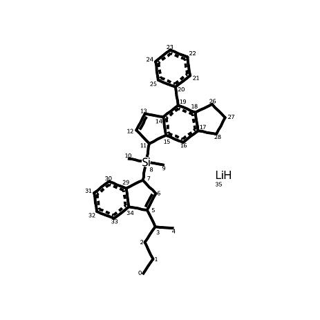 CCCC(C)C1=CC([Si](C)(C)C2C=Cc3c2cc2c(c3-c3ccccc3)CCC2)c2ccccc21.[LiH]